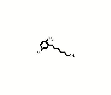 CCCCCCCc1cc(C)[c]cc1C